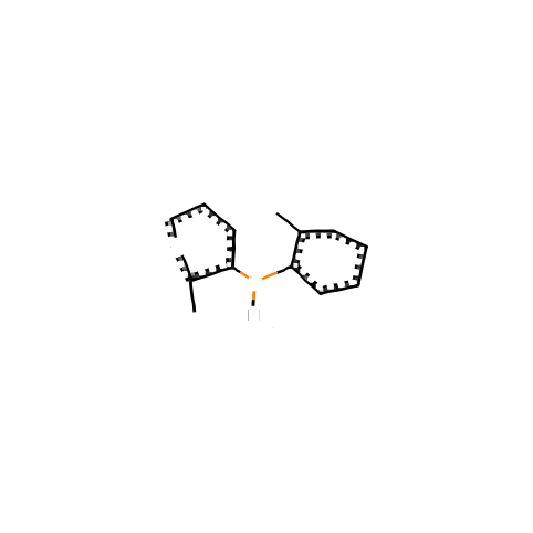 BP(c1ccccc1C)c1ccccc1C